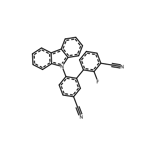 N#Cc1ccc(-n2c3ccccc3c3ccccc32)c(-c2cccc(C#N)c2F)c1